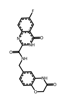 O=C1COc2ccc(CNC(=O)c3nc4ccc(F)cc4c(=O)[nH]3)cc2N1